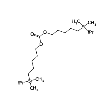 CC(C)[Si](C)(C)CCCCCOC(=O)OCCCCC[Si](C)(C)C(C)C